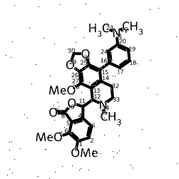 COc1ccc2c(c1OC)C(=O)OC2C1c2c(c(-c3cccc(N(C)C)c3)c3c(c2OC)OCO3)CCN1C